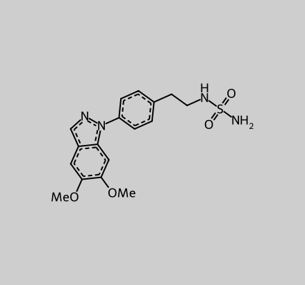 COc1cc2cnn(-c3ccc(CCNS(N)(=O)=O)cc3)c2cc1OC